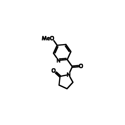 COc1ccc(C(=O)N2CCCC2=O)nc1